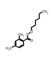 [CH2]CCCC[CH]OOC(=O)c1ccc(C)cc1C